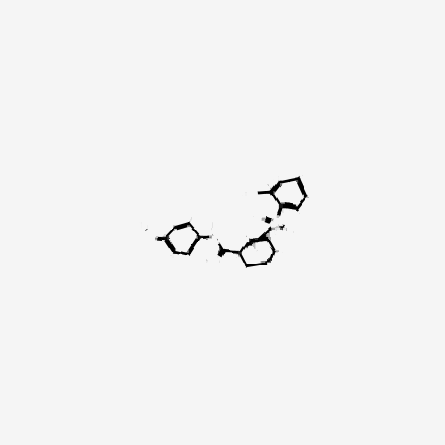 CC(C)Oc1ccc(NC(=O)C2CC3CCC2N(S(=O)(=O)c2ccccc2F)C3)cc1